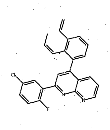 C=Cc1cccc(-c2cc(-c3cc(Cl)ccc3F)nc3ncccc23)c1/C=C\C